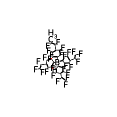 C/C(F)=C(\F)c1c(F)c(F)c([B-](c2c(F)c(F)c(C(F)=C(F)F)c(F)c2F)(c2c(F)c(F)c(C(F)=C(F)F)c(F)c2F)c2c(F)c(F)c(C(F)=C(F)F)c(F)c2F)c(F)c1F